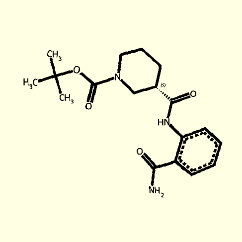 CC(C)(C)OC(=O)N1CCC[C@H](C(=O)Nc2ccccc2C(N)=O)C1